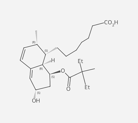 CCC(C)(CC)C(=O)O[C@H]1C[C@H](O)C=C2C=C[C@H](C)[C@H](CCCCCCC(=O)O)[C@H]21